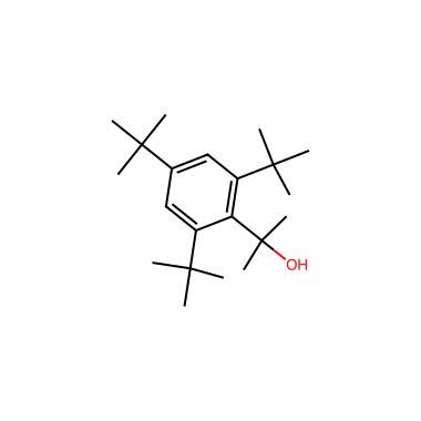 CC(C)(C)c1cc(C(C)(C)C)c(C(C)(C)O)c(C(C)(C)C)c1